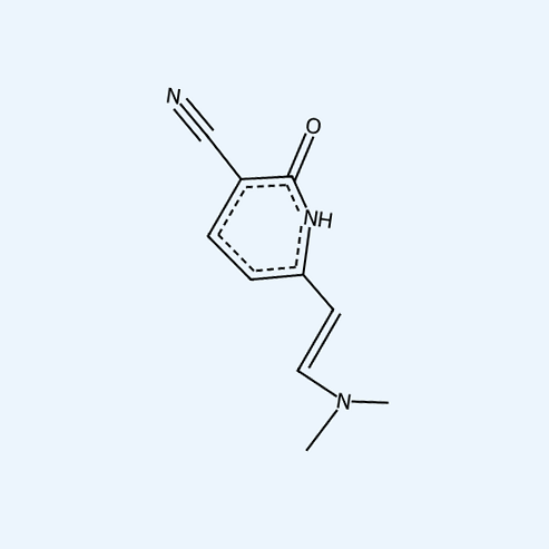 CN(C)C=Cc1ccc(C#N)c(=O)[nH]1